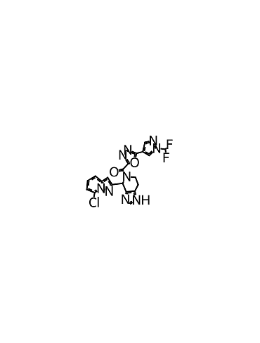 O=C(c1nnc(-c2cnn(C(F)F)c2)o1)N1CCc2[nH]cnc2C1c1cc2cccc(Cl)n2n1